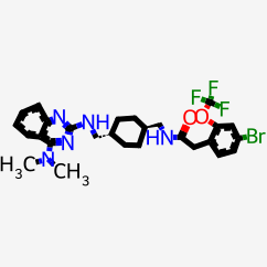 CN(C)c1nc(NC[C@H]2CC[C@H](CNC(=O)Cc3ccc(Br)cc3OC(F)(F)F)CC2)nc2ccccc12